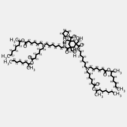 CCCCCCC(C)OC(=O)CCCCCN(CCCCCCNC(=O)C1(CO)CC(CO)(C(=O)NCCCCCCN(CCCCCC(=O)OC(C)CCCCCC)CCCCCC(=O)OC(C)CCCCCC)CC(CO)(C(=O)N2CCCC2)C1)CCCCCC(=O)OC(C)CCCCCC